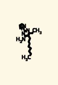 CCCCCCCCc1c(N)nc(-n2cccn2)nc1CC